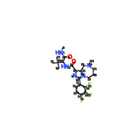 CNC(=O)[C@@H](NC(=O)c1nc(-c2ccc(F)c(F)c2F)n2c1CN(C)CCC2)C(C)(C)C